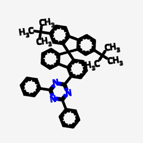 CC(C)(C)c1ccc2c(c1)C1(c3cc(C(C)(C)C)ccc3-2)c2ccccc2-c2c(-c3nc(-c4ccccc4)nc(-c4ccccc4)n3)cccc21